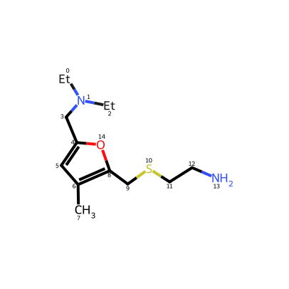 CCN(CC)Cc1cc(C)c(CSCCN)o1